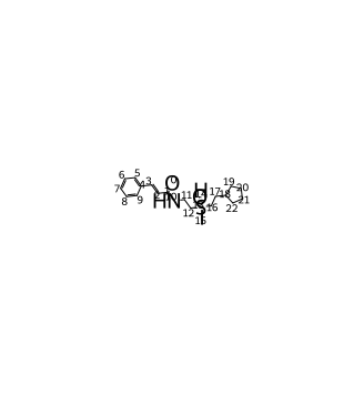 O=C(/C=C/c1ccccc1)NCC[SH](=O)(I)CCC1CCCC1